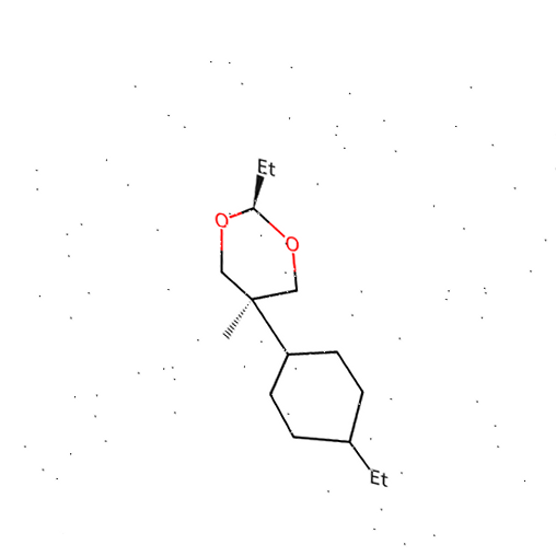 CCC1CCC([C@]2(C)CO[C@H](CC)OC2)CC1